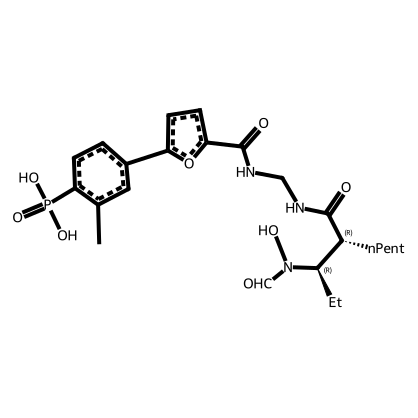 CCCCC[C@@H](C(=O)NCNC(=O)c1ccc(-c2ccc(P(=O)(O)O)c(C)c2)o1)[C@@H](CC)N(O)C=O